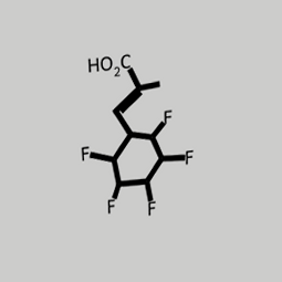 CC(=CC1C(F)C(F)C(F)C(F)C1F)C(=O)O